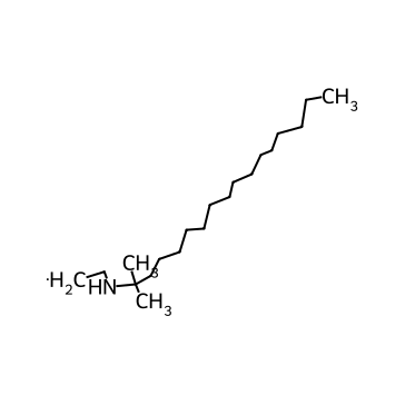 [CH2]CNC(C)(C)CCCCCCCCCCCCCCC